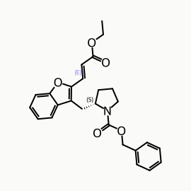 CCOC(=O)/C=C/c1oc2ccccc2c1C[C@@H]1CCCN1C(=O)OCc1ccccc1